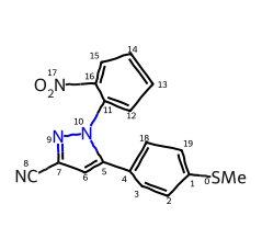 CSc1ccc(-c2cc(C#N)nn2-c2ccccc2[N+](=O)[O-])cc1